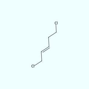 ClCC=CCCCl